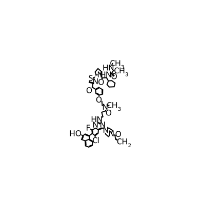 C=CC(=O)N1CCN(c2nc(NCCC(=O)N(C)CCOc3cccc(C(=O)c4csc([C@@H]5CCCN5C(=O)[C@@H](NC(=O)[C@H](C)NC)C5CCCCC5)n4)c3)nc3c(F)c(-c4cc(O)cc5ccccc45)c(Cl)cc23)CC1